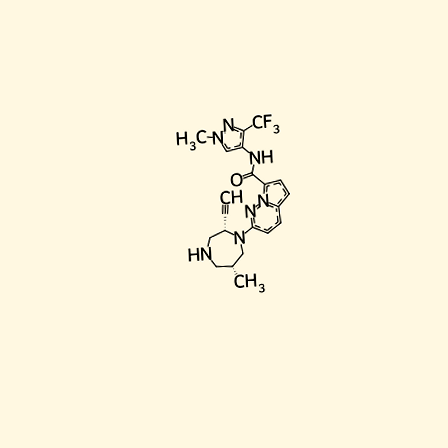 C#C[C@H]1CNC[C@@H](C)CN1c1ccc2ccc(C(=O)Nc3cn(C)nc3C(F)(F)F)n2n1